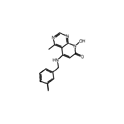 Cc1cccc(CNc2cc(=O)n(O)c3ncnc(C)c23)c1